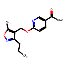 COC(=O)c1ccc(OCc2c(CCC(F)(F)F)noc2C)nc1